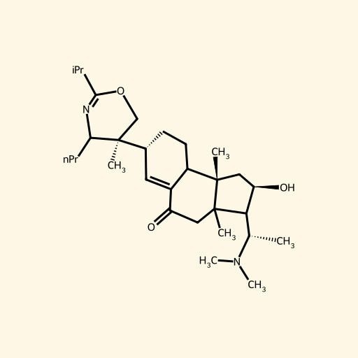 CCCC1N=C(C(C)C)OC[C@@]1(C)[C@H]1C=C2C(=O)CC3(C)C([C@H](C)N(C)C)[C@H](O)C[C@@]3(C)C2CC1